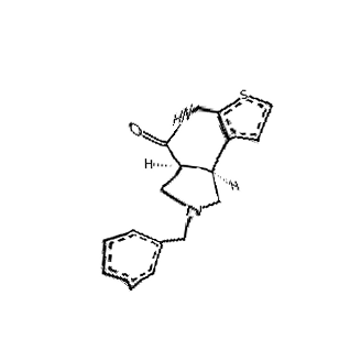 O=C1Nc2sccc2[C@H]2CN(Cc3ccccc3)C[C@@H]12